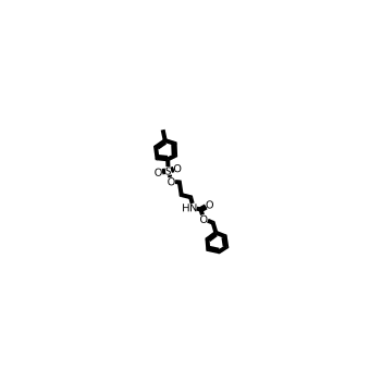 Cc1ccc(S(=O)(=O)OCCCNC(=O)OCc2ccccc2)cc1